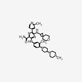 Cc1cc(-c2nc(C(N)=O)c(Nc3ccc(N4CCC(N5CCN(C)CC5)CC4)c(C)c3)nc2NC2CC3(CCOCC3)C2)ccn1